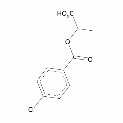 CC(OC(=O)c1ccc(Cl)cc1)C(=O)O